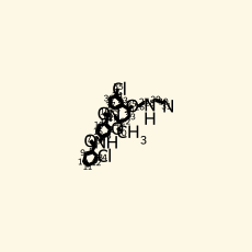 COc1cc(NC(=O)c2ccccc2Cl)ccc1C(=O)N1CCCC(OCCNCC#N)c2cc(Cl)ccc21